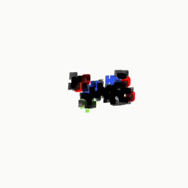 Cc1cc(-c2cnc3c(c2)c(C(F)(F)F)cn3C(=O)OC(C)(C)C)cc(C2COCCN2)c1C1CCOCC1